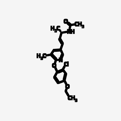 CCOc1ccc(Oc2ncc(/C=C/[C@H](C)NC(C)=O)cc2C)c(Cl)c1